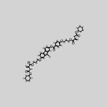 C=C(CC(=O)OC1CCCCC1)C(=O)OCCCOc1ccc(C(=O)Oc2ccc3c(c2)C(C)c2cc(OCCCOC(=O)C(=C)CC(=O)OC4CCCCC4)ccc2-3)cc1